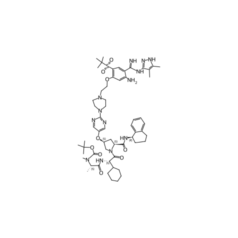 Cc1[nH]nc(NC(=N)c2cc(S(=O)(=O)C(C)(C)C)c(OCCN3CCN(c4ncc(O[C@H]5C[C@@H](C(=O)N[C@@H]6CCCc7ccccc76)N(C(=O)[C@@H](NC(=O)[C@H](C)N(C)C(=O)OC(C)(C)C)C6CCCCC6)C5)cn4)CC3)cc2N)c1C